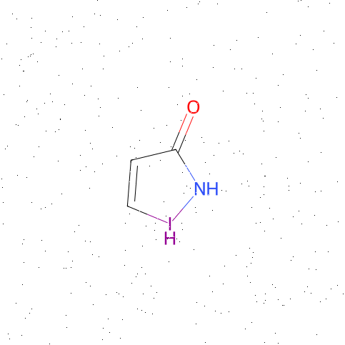 O=C1C=C[IH]N1